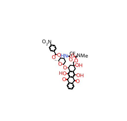 CNC(=O)OCC1(O)Cc2c(O)c3c(c(O)c2[C@@H](O[C@H]2C[C@H](NC(=O)C(F)(F)F)[C@@H](OC(=O)c4ccc([N+](=O)[O-])cc4)[C@@H](C)O2)C1)C(=O)c1ccccc1C3=O